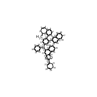 CC1CC=Cc2cccc(-c3ccc(N(c4ccccc4)c4cc5nc(C6=CC=CCC6)oc5c5ccccc45)cc3-c3ccc4ccccc4c3)c21